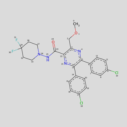 COCc1nc(-c2ccc(Cl)cc2)c(-c2ccc(Cl)cc2)nc1C(=O)NN1CCC(F)(F)CC1